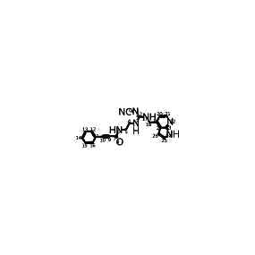 N#CN=C(NCCNC(=O)C#Cc1ccccc1)NCc1ccnc2[nH]ccc12